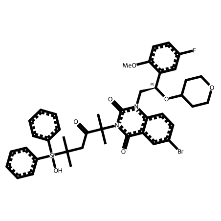 COc1ccc(F)cc1[C@H](Cn1c(=O)n(C(C)(C)C(=O)CC(C)(C)[Si](O)(c2ccccc2)c2ccccc2)c(=O)c2cc(Br)ccc21)OC1CCOCC1